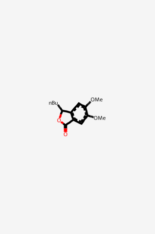 CCCCC1OC(=O)c2cc(OC)c(OC)cc21